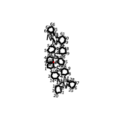 c1ccc([Si](c2ccccc2)(c2cccc(-n3c4ccccc4n4c5ccccc5nc34)c2)c2cccc(S(c3ccccc3)(c3ccccc3)c3cccc(-n4c5ccccc5n5c6ccccc6nc45)c3)c2)cc1